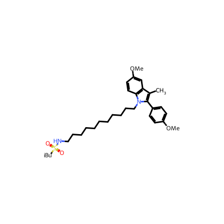 CCC(C)S(=O)(=O)NCCCCCCCCCCCn1c(-c2ccc(OC)cc2)c(C)c2cc(OC)ccc21